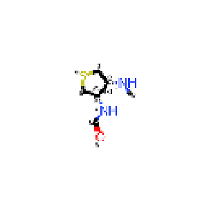 CN[C@H]1CSC[C@H]1NC=O